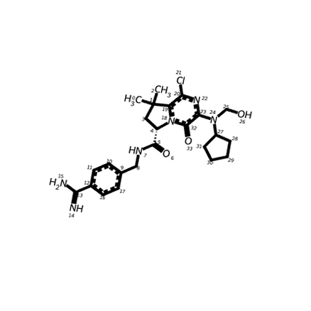 CC1(C)C[C@@H](C(=O)NCc2ccc(C(=N)N)cc2)n2c1c(Cl)nc(N(CO)C1CCCC1)c2=O